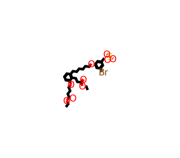 CCOC(=O)CCCOc1cccc(CCCCCCOc2cc(Br)cc(COS(C)(=O)=O)c2)c1CCC(=O)OCC